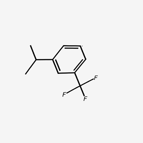 CC(C)c1c[c]cc(C(F)(F)F)c1